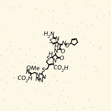 CO/N=C(\Cn1nnnc1SCC1=C(C(=O)O)N2C(=O)C(NC(=O)/C(=N\OC3C=CCC3)c3csc(N)n3)[C@H]2SC1)C(=O)O